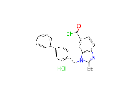 CCc1nc2ccc(C(=O)Cl)cc2n1Cc1ccc(-c2ccccc2)cc1.Cl